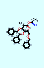 CC(=N)O[C@@H]1OC(COCc2ccccc2)[C@@H](OCc2ccccc2)C(OCc2ccccc2)[C@H]1C